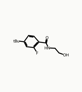 CC(C)(C)c1ccc(C(=O)NCCO)c(F)c1